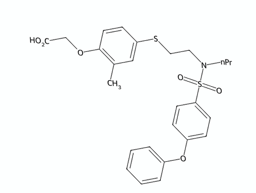 CCCN(CCSc1ccc(OCC(=O)O)c(C)c1)S(=O)(=O)c1ccc(Oc2ccccc2)cc1